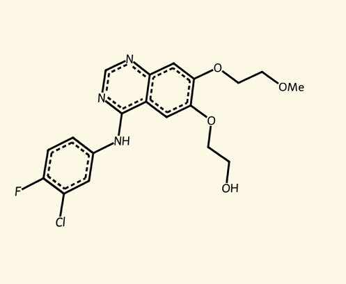 COCCOc1cc2ncnc(Nc3ccc(F)c(Cl)c3)c2cc1OCCO